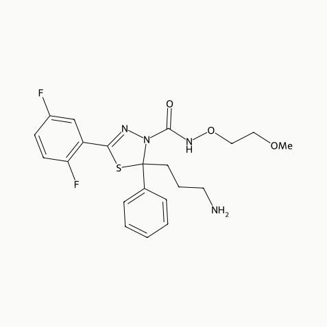 COCCONC(=O)N1N=C(c2cc(F)ccc2F)SC1(CCCN)c1ccccc1